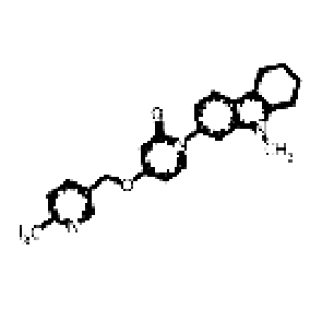 Cc1ccc(COc2ccn(-c3ccc4c5c(n(C)c4c3)CCCC5)c(=O)c2)cn1